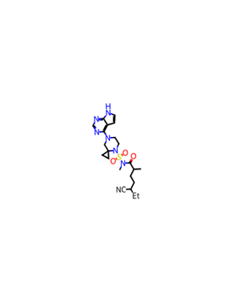 CCC(C#N)CCC(C)C(=O)N(C)S(=O)(=O)N1CCN(c2ncnc3[nH]ccc23)CC12CC2